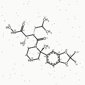 CC(C)C[C@H](C(=O)N1CCNC[C@@]1(C)c1ccc2c(c1)OC(F)(F)O2)[C@H](O)C(=O)NO